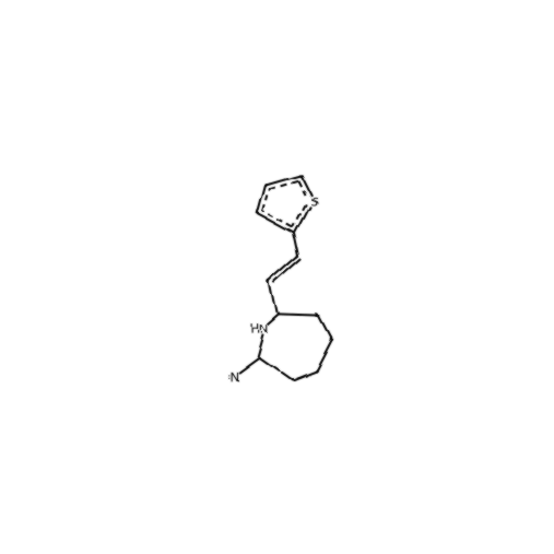 [N]C1CCCCC(C=Cc2cccs2)N1